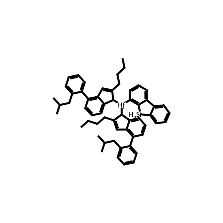 CCCCC1=Cc2c(-c3ccccc3CC(C)C)cccc2[CH]1[Hf]([c]1cccc2c1[SiH2]c1ccccc1-2)[CH]1C(CCCC)=Cc2c(-c3ccccc3CC(C)C)cccc21